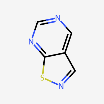 [c]1ncc2cnsc2n1